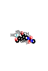 Cc1c(-c2c(C)c3c(c(C)c2[C@H](OC(C)(C)C)C(=O)O)CCN(C(=O)C(=O)N2CCCCC2)CC3)cc(F)c2c1CCCO2